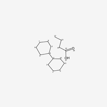 C1CCC(C2CCCCC2)CC1.CCCC(=O)O